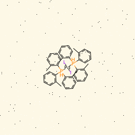 Cc1ccccc1[PH](c1ccccc1C)(c1ccccc1C)[Pd]([I])([I])[PH](c1ccccc1C)(c1ccccc1C)c1ccccc1C